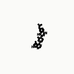 Cc1c[nH]c2ncnc(N3CCN(C(=NC#N)Nc4cccc(CN(C)C)c4)C(C)C3)c12